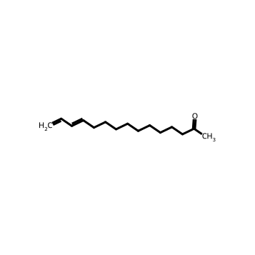 C=CC=CCCCCCCCCCC(C)=O